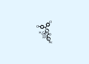 CC(=O)N1CCC(CC(=O)N2CCN(C(c3ccc(Cl)cc3)c3ccc(Cl)cc3)C[C@@H]2C(C)(C)O)CC1